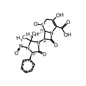 CC1(C)N(N=O)[C@H](c2ccccc2)C(=O)N1[C@@H]1C(=O)N2C(C(=O)O)=C(O)C[S+]([O-])[C@H]12